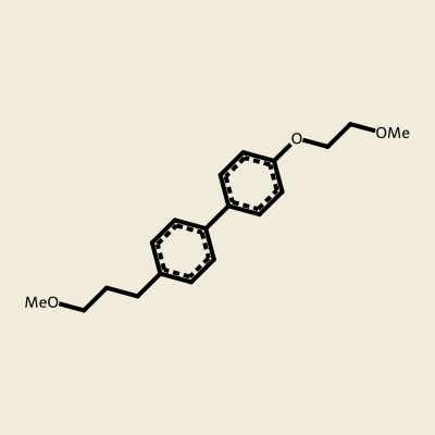 COCCCc1ccc(-c2ccc(OCCOC)cc2)cc1